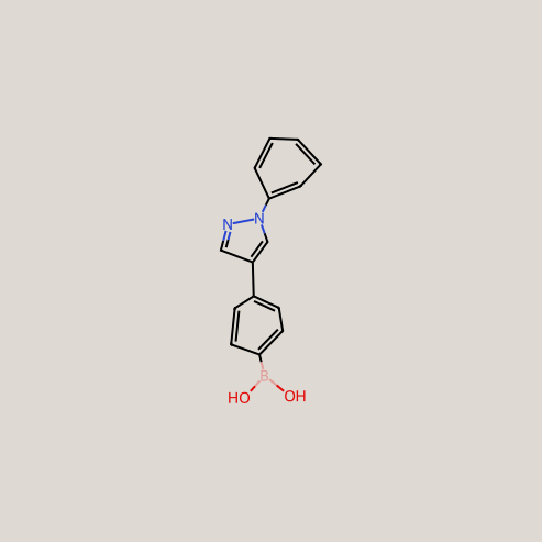 OB(O)c1ccc(-c2cnn(-c3ccccc3)c2)cc1